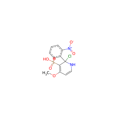 COC1=C(S(=O)(=O)O)C(Cl)(c2ccccc2[N+](=O)[O-])NC=C1